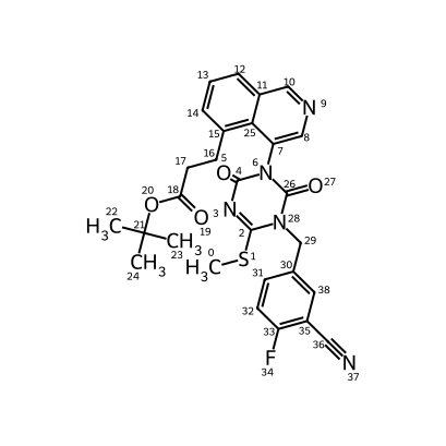 CSc1nc(=O)n(-c2cncc3cccc(CCC(=O)OC(C)(C)C)c23)c(=O)n1Cc1ccc(F)c(C#N)c1